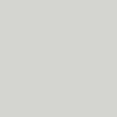 COCCNc1ccc(-c2cn(-c3ccncc3)c3ncnc(Cl)c23)cn1